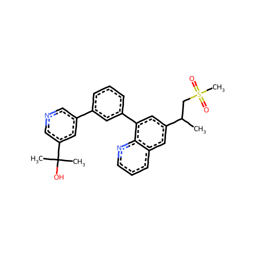 CC(CS(C)(=O)=O)c1cc(-c2cccc(-c3cncc(C(C)(C)O)c3)c2)c2ncccc2c1